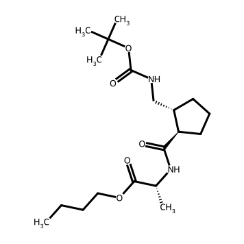 CCCCOC(=O)[C@@H](C)NC(=O)[C@@H]1CCC[C@H]1CNC(=O)OC(C)(C)C